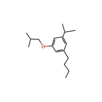 CCCCc1cc(OCC(C)C)cc([C](C)C)c1